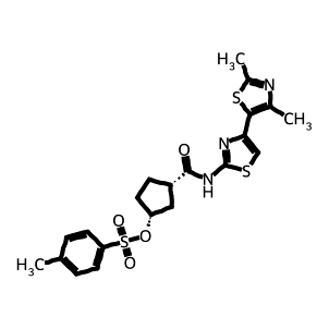 Cc1ccc(S(=O)(=O)O[C@@H]2CC[C@H](C(=O)Nc3nc(-c4sc(C)nc4C)cs3)C2)cc1